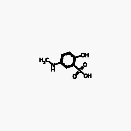 CNc1ccc(O)c(S(=O)(=O)O)c1